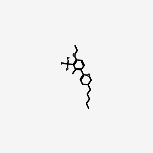 CCCCCC1CC=C(c2ccc(OCC)c(C(F)(F)F)c2C)OC1